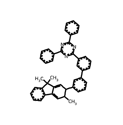 CC1C=C2C(=CC1c1cccc(-c3cccc(-c4nc(-c5ccccc5)nc(-c5ccccc5)n4)c3)c1)C(C)(C)c1ccccc12